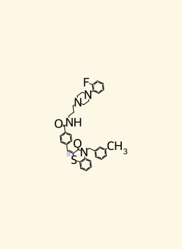 Cc1cccc(CN2C(=O)/C(=C\c3ccc(C(=O)NCCCN4CCN(c5ccccc5F)CC4)cc3)Sc3ccccc32)c1